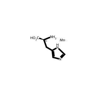 N[C@@H](Cc1cnc[nH]1)C(=O)O.[Mn]